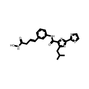 CC(C)Cc1sc(-c2nccs2)nc1C(=O)Nc1cccc(/C=C/CC(=O)NO)c1